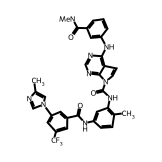 CNC(=O)c1cccc(Nc2ncnc3c2ccn3C(=O)Nc2cc(NC(=O)c3cc(-n4cnc(C)c4)cc(C(F)(F)F)c3)ccc2C)c1